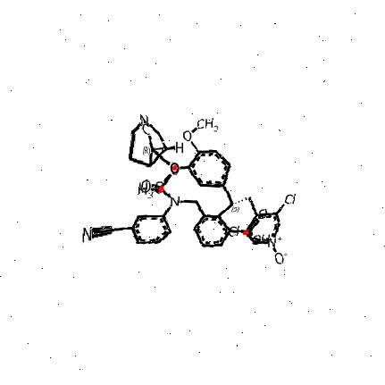 COc1ccc([C@H](Cc2c(Cl)c[n+]([O-])cc2Cl)c2c(CN(C(=O)O[C@H]3CN4CCC3CC4)c3cccc(C#N)c3)cccc2C(=O)O)cc1OC